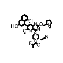 C=C(F)C(=O)N1CCN(c2nc(OCC3CCCN3C)nc3cc(-c4cc(O)cc5cccc(Cl)c45)c(OC)nc23)C[C@@H]1CC#N